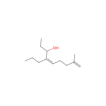 C=C(C)CCC=C(CCC)C(O)CC